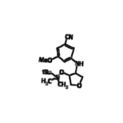 COc1cc(C#N)cc(NC2COCC2O[Si](C)(C)C(C)(C)C)c1